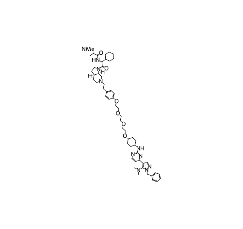 CN[C@@H](C)C(=O)NC(C(=O)N1CC[C@@H]2CCN(CCc3ccc(OCCOCCOCCO[C@H]4CC[C@H](Nc5nccc(-c6cnn(Cc7ccccc7)c6N(C)C)n5)CC4)cc3)C[C@@H]21)C1CCCCC1